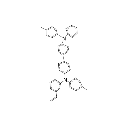 C=Cc1cccc(N(c2ccc(C)cc2)c2ccc(-c3ccc(N(c4ccccc4)c4ccc(C)cc4)cc3)cc2)c1